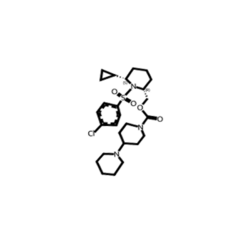 O=C(OC[C@H]1CCC[C@@H](C2CC2)N1S(=O)(=O)c1ccc(Cl)cc1)N1CCC(N2CCCCC2)CC1